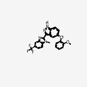 COc1ccccc1Oc1ccc2[nH]nc(-c3nc4cc(C(F)(F)F)ccc4n3C)c2c1